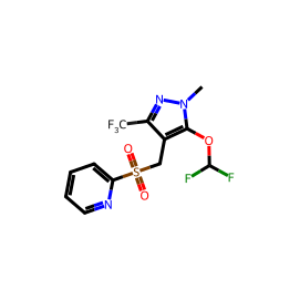 Cn1nc(C(F)(F)F)c(CS(=O)(=O)c2ccccn2)c1OC(F)F